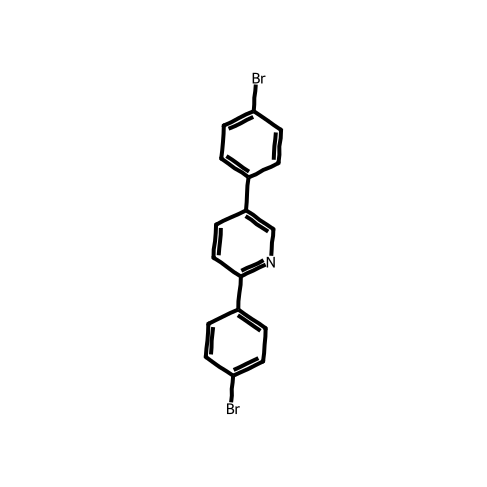 Brc1ccc(-c2ccc(-c3ccc(Br)cc3)nc2)cc1